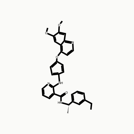 CCc1cccc([C@H](C)NC(=O)c2cccnc2Nc2ccc(Oc3ccnc4cc(OC)c(OC)cc34)cc2)c1